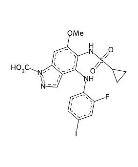 COc1cc2c(cnn2C(=O)O)c(Nc2ccc(I)cc2F)c1NS(=O)(=O)C1CC1